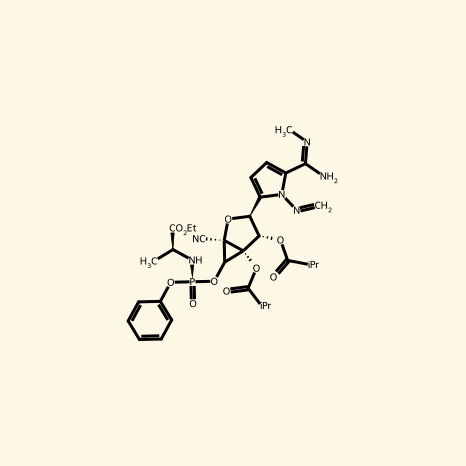 C=Nn1c(/C(N)=N\C)ccc1[C@@H]1O[C@]2(C#N)C(O[P@@](=O)(N[C@@H](C)C(=O)OCC)Oc3ccccc3)[C@]2(OC(=O)C(C)C)[C@H]1OC(=O)C(C)C